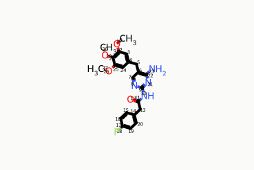 COc1cc(Cc2cnc(NC(=O)Cc3ccc(F)cc3)nc2N)cc(OC)c1OC